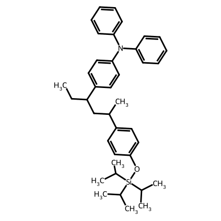 CCC(CC(C)c1ccc(O[Si](C(C)C)(C(C)C)C(C)C)cc1)c1ccc(N(c2ccccc2)c2ccccc2)cc1